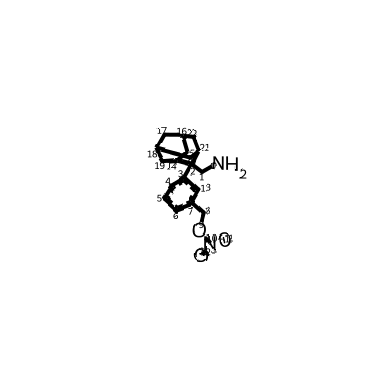 NCC1(c2cccc(CO[N+](=O)[O-])c2)C2CC3CC(C2)CC1C3